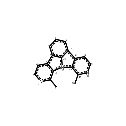 Cc1nccc2c3cccc4c5ccnc(C)c5n(c12)c34